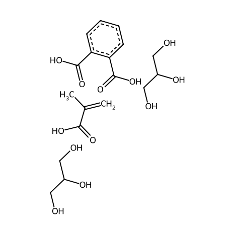 C=C(C)C(=O)O.O=C(O)c1ccccc1C(=O)O.OCC(O)CO.OCC(O)CO